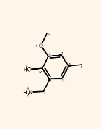 COc1cc(C)cc(CN)c1O